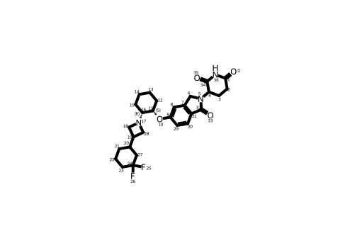 O=C1CCC(N2Cc3cc(O[C@H]4CCCC[C@H]4N4CC(C5CCCC(F)(F)C5)C4)ccc3C2=O)C(=O)N1